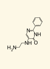 NCCNc1cnc(-c2ccccc2)[nH]c1=O